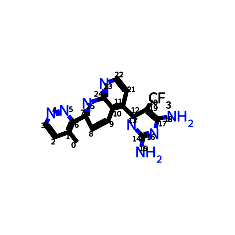 Cc1ccnnc1-c1ccc2c(-c3nc(N)nc(N)c3C(F)(F)F)ccnc2n1